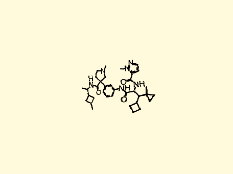 CC1CC(C(C)NC(=O)C2(c3cccc(NC(=O)[C@@H](NC(=O)c4ccnn4C)C(C4CCC4)C4(C)CC4)c3)CCN(C)C2)C1